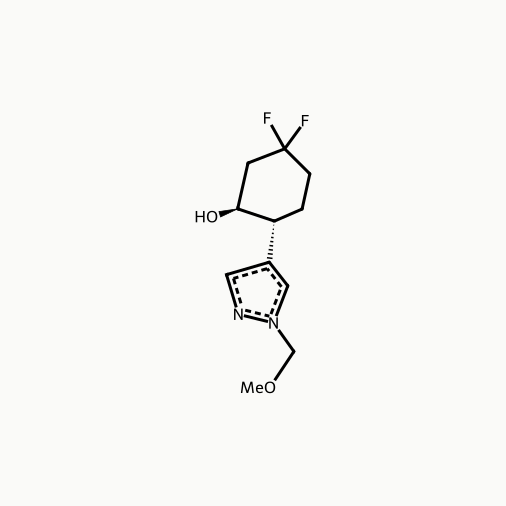 COCn1cc([C@H]2CCC(F)(F)C[C@@H]2O)cn1